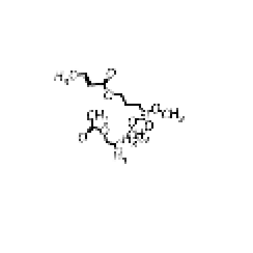 CC=CC(=O)OCCC[Si](OC)(OC)OC.CCOC(C)=O